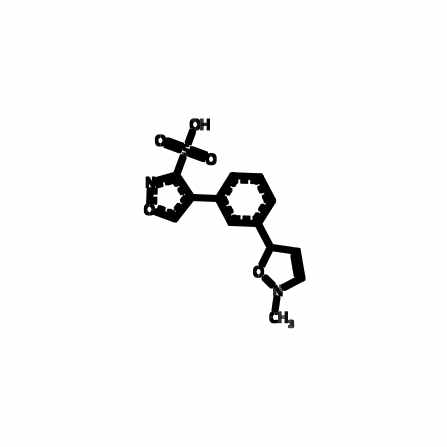 CN1C=CC(c2cccc(-c3conc3S(=O)(=O)O)c2)O1